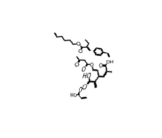 C=C(C(=O)O)C(C=C(C)C(=O)O)CCOC(=O)CC(C)=O.C=C(CC)C(=O)OCCCCCC.C=CC(=O)O.C=Cc1ccccc1